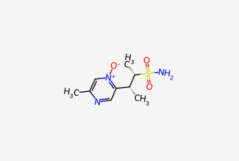 Cc1c[n+]([O-])c([C@@H](C)[C@H](C)S(N)(=O)=O)cn1